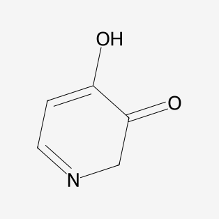 O=C1CN=CC=C1O